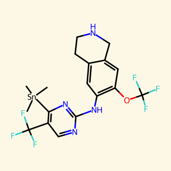 [CH3][Sn]([CH3])([CH3])[c]1nc(Nc2cc3c(cc2OC(F)(F)F)CNCC3)ncc1C(F)(F)F